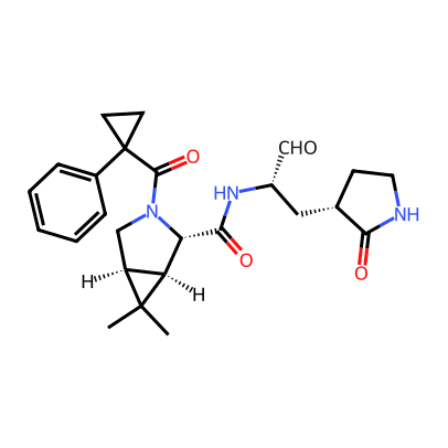 CC1(C)[C@@H]2[C@@H](C(=O)N[C@H](C=O)C[C@@H]3CCNC3=O)N(C(=O)C3(c4ccccc4)CC3)C[C@@H]21